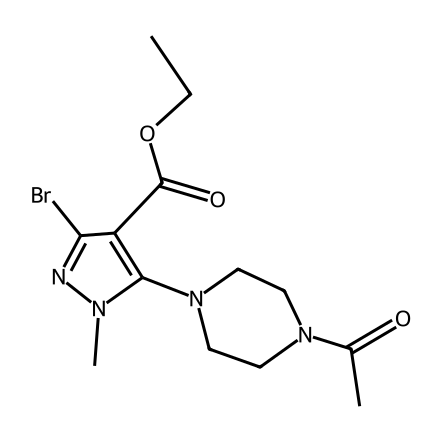 CCOC(=O)c1c(Br)nn(C)c1N1CCN(C(C)=O)CC1